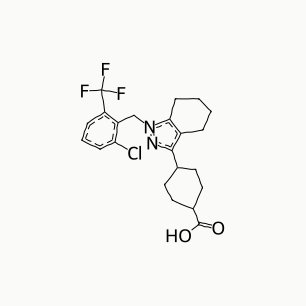 O=C(O)C1CCC(c2nn(Cc3c(Cl)cccc3C(F)(F)F)c3c2CCCC3)CC1